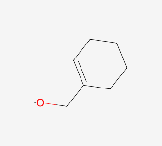 [O]CC1=CCCCC1